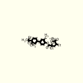 CCC(C)OC(=O)C(CC)CC(C)(CC)C(=O)Oc1ccc(-c2ccc(C(C)(C)CC)c(C)c2)cc1C